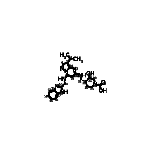 CC(C)c1cnn2c(NCc3nc4ccccc4[nH]3)cc(NC[C@H]3CCN(C(=O)O)C[C@@H]3O)nc12